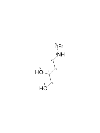 CCCNCCC(O)CO